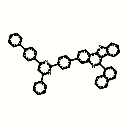 c1ccc(-c2ccc(-c3cc(-c4ccccc4)nc(-c4ccc(-c5ccc6c(c5)nc(-c5cccc7ccccc57)c5c7ccccc7sc65)cc4)n3)cc2)cc1